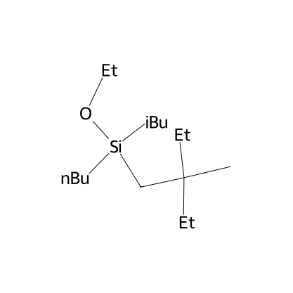 CCCC[Si](CC(C)(CC)CC)(OCC)C(C)CC